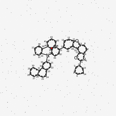 c1ccc(-c2nc3ccc4oc5ccc(-c6ccc(N(c7ccc8ccc9ccccc9c8c7)c7ccccc7-c7ccccc7)cc6)cc5c4c3o2)cc1